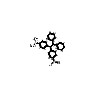 CCN(CC)c1ccc(C(c2ccc(N(CC)CC)cc2)C(C2=CCCC=C2)c2ccccc2)cc1